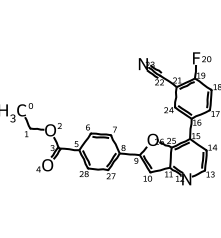 CCOC(=O)c1ccc(-c2cc3nccc(-c4ccc(F)c(C#N)c4)c3o2)cc1